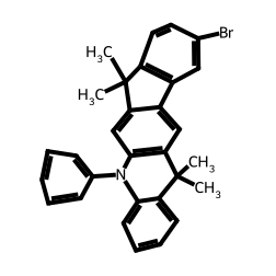 CC1(C)c2ccc(Br)cc2-c2cc3c(cc21)N(c1ccccc1)c1ccccc1C3(C)C